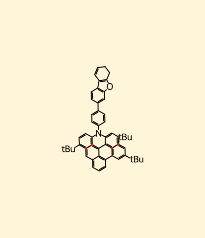 CC(C)(C)c1ccc(N(c2ccc(-c3ccc4c5c(oc4c3)CCC=C5)cc2)c2ccccc2-c2cccc3cccc(-c4cc(C(C)(C)C)cc(C(C)(C)C)c4)c23)cc1